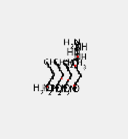 CCCCCCCC/C=C\CCCCCCCC(N)=O.CCCCCCCC/C=C\CCCCCCCC(N)=O.CCCCCCCC/C=C\CCCCCCCC(N)=O.CCCCCCCC/C=C\CCCCCCCC(N)=O.NCCNCCNCCNCCN